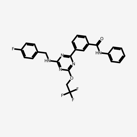 O=C(Nc1ccccc1)c1cccc(-c2nc(NCc3ccc(F)cc3)nc(OCC(F)(F)F)n2)c1